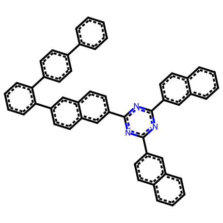 c1ccc(-c2ccc(-c3ccccc3-c3ccc4cc(-c5nc(-c6ccc7ccccc7c6)nc(-c6ccc7ccccc7c6)n5)ccc4c3)cc2)cc1